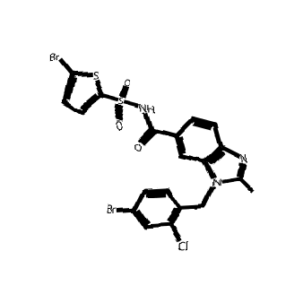 Cc1nc2ccc(C(=O)NS(=O)(=O)c3ccc(Br)s3)cc2n1Cc1ccc(Br)cc1Cl